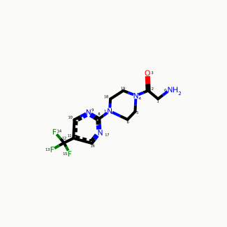 NCC(=O)N1CCN(c2ncc(C(F)(F)F)cn2)CC1